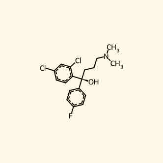 CN(C)CCC[C@](O)(c1ccc(F)cc1)c1ccc(Cl)cc1Cl